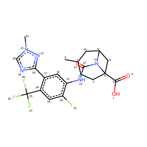 CC1CCC2(C(=O)O)CC(C1)N2C(=O)Nc1cc(-c2ncn(C)n2)c(C(F)(F)F)cc1F